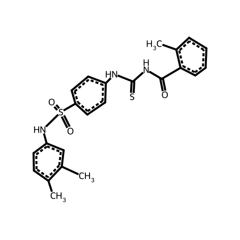 Cc1ccc(NS(=O)(=O)c2ccc(NC(=S)NC(=O)c3ccccc3C)cc2)cc1C